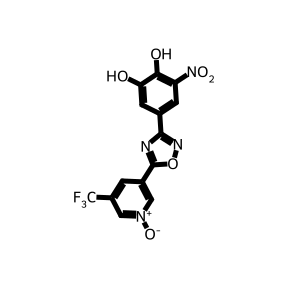 O=[N+]([O-])c1cc(-c2noc(-c3cc(C(F)(F)F)c[n+]([O-])c3)n2)cc(O)c1O